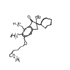 CCCCC1(C2CCCC2)Cc2cc(OCCCC(=O)O)c(C)c(C)c2C1=O